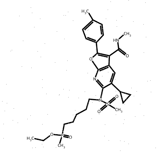 CCOP(C)(=O)CCCCCN(c1nc2oc(-c3ccc(C)cc3)c(C(=O)NC)c2cc1C1CC1)S(C)(=O)=O